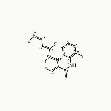 C=C(Nc1ccccc1C)C(=C/C)/N=C(C)/C(C)=C/C=N\C